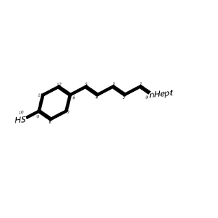 CCCCCCCCCCCCC1CCC(S)CC1